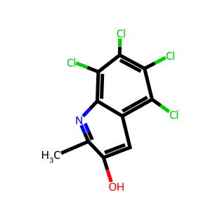 Cc1nc2c(Cl)c(Cl)c(Cl)c(Cl)c2cc1O